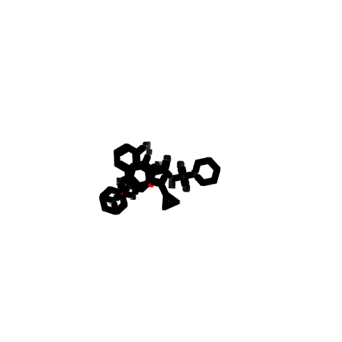 O=C(NS(=O)(=O)N1CCCCC1)c1cc2sc(N3C4CC(NCc5c(-c6c(Cl)cccc6Cl)noc5C5CC5)CC3C4)nc2cc1F